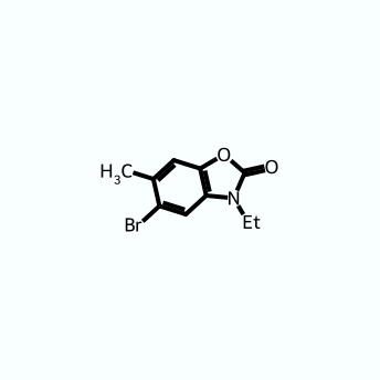 CCn1c(=O)oc2cc(C)c(Br)cc21